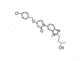 CC(C#N)CCc1nc2ccc(-n3ccc(OCc4ccc(Cl)cc4)cc3=O)cc2n1C